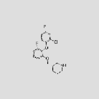 Fc1ccc(Oc2c(F)cccc2OC[C@H]2CCCNC2)c(Cl)c1